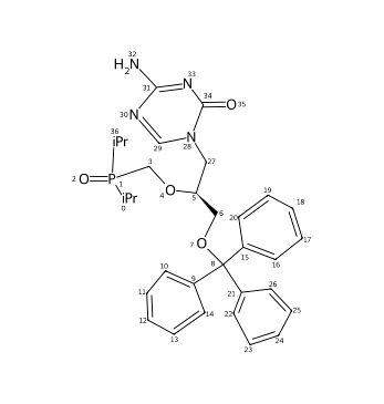 CC(C)P(=O)(CO[C@H](COC(c1ccccc1)(c1ccccc1)c1ccccc1)Cn1cnc(N)nc1=O)C(C)C